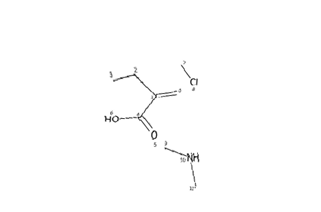 C=C(CC)C(=O)O.CCl.CNC